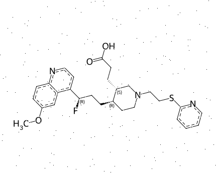 COc1ccc2nccc([C@H](F)CC[C@@H]3CCN(CCSc4ccccn4)C[C@H]3CCC(=O)O)c2c1